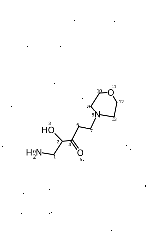 NCC(O)C(=O)CCN1CCOCC1